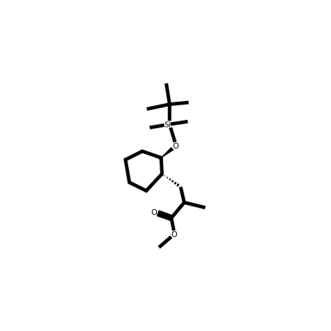 COC(=O)C(C)C[C@@H]1CCCC[C@H]1O[Si](C)(C)C(C)(C)C